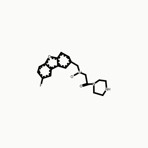 O=C(C[S+]([O-])Cc1ccc2oc3ccc(F)cc3c2c1)N1CCNCC1